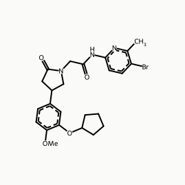 COc1ccc(C2CC(=O)N(CC(=O)Nc3ccc(Br)c(C)n3)C2)cc1OC1CCCC1